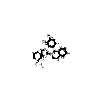 CN1CCC[C@]2(CN=C(N3CCc4ccccc4[C@H]3c3ccc(F)c(F)c3)O2)C1